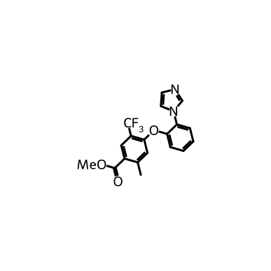 COC(=O)c1cc(C(F)(F)F)c(Oc2ccccc2-n2ccnc2)cc1C